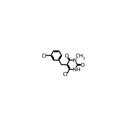 Cn1c(=O)[nH]c(Cl)c(Cc2cccc(Cl)c2)c1=O